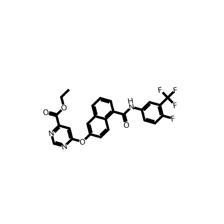 CCOC(=O)c1cc(Oc2ccc3c(C(=O)Nc4ccc(F)c(C(F)(F)F)c4)cccc3c2)ncn1